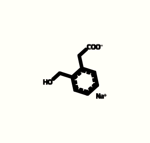 O=C([O-])Cc1ccccc1CO.[Na+]